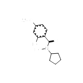 COc1ccc(C(=O)N(O)C2CCCC2)c(O)c1